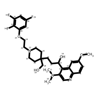 COc1ccc2ncc(N(C)C)c(C(O)CCC3(CO)CCN(CCOc4cc(F)cc(F)c4F)CC3)c2c1